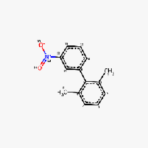 Cc1cccc(C)c1-c1[c]ccc([N+](=O)[O-])c1